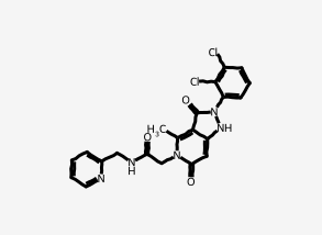 Cc1c2c(=O)n(-c3cccc(Cl)c3Cl)[nH]c2cc(=O)n1CC(=O)NCc1ccccn1